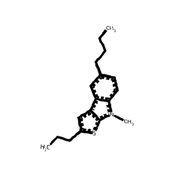 CCCCc1ccc2c(c1)c1cc(CCC)sc1n2C